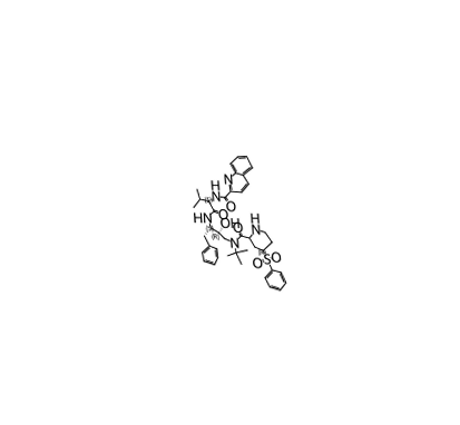 CC(C)[C@H](NC(=O)c1ccc2ccccc2n1)C(=O)N[C@@H](Cc1ccccc1)[C@H](O)CN(C(=O)C1C[C@H](S(=O)(=O)c2ccccc2)CCN1)C(C)(C)C